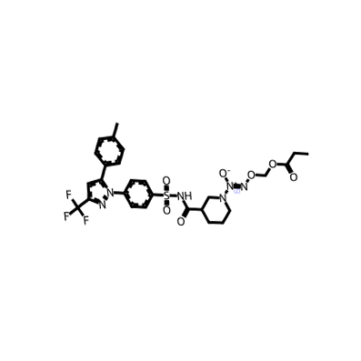 CCC(=O)OCO/N=[N+](\[O-])N1CCCC(C(=O)NS(=O)(=O)c2ccc(-n3nc(C(F)(F)F)cc3-c3ccc(C)cc3)cc2)C1